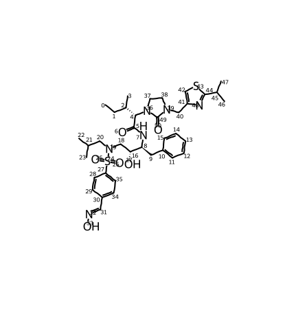 CCC(C)[C@@H](C(=O)N[C@@H](Cc1ccccc1)[C@H](O)CN(CC(C)C)S(=O)(=O)c1ccc(C=NO)cc1)N1CCN(Cc2csc(C(C)C)n2)C1=O